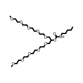 CCCCCNC(=O)OC(COCCOCCOCCOCCOC)COCCOCCOCCOCCOC